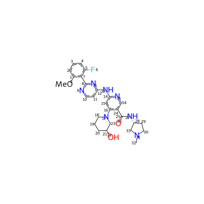 COc1cccc(F)c1-c1nccc(Nc2cc(N3CCC[C@H](O)C3)c(C(=O)N[C@@H]3CCN(C)C3)cn2)n1